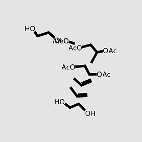 C=CC.C=CC.CC(=O)OCC(C)OC(C)=O.CC(=O)OCCOC(C)=O.COC.OCCO.OCCO